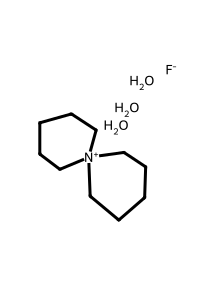 C1CC[N+]2(CC1)CCCCC2.O.O.O.[F-]